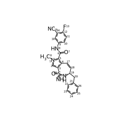 Cn1cc2c(c1C(=O)Nc1ccc(F)c(C#N)c1)C=CC(Cc1ccccc1)NS2(=N)=O